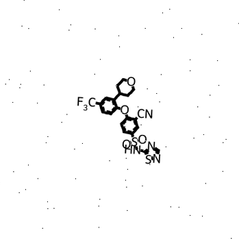 N#Cc1cc(S(=O)(=O)Nc2ncns2)ccc1Oc1ccc(C(F)(F)F)cc1C1CCOCC1